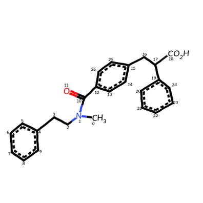 CN(CCc1ccccc1)C(=O)c1ccc(CC(C(=O)O)c2ccccc2)cc1